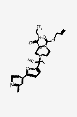 C=CCOC(=O)N1CCN(C(C)(C#N)c2ccc(-c3ccnc(C)c3)o2)C[C@H]1C(=O)NCC(F)(F)F